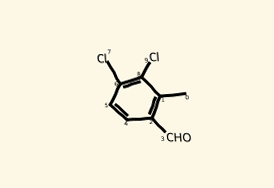 Cc1c(C=O)ccc(Cl)c1Cl